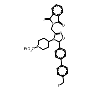 CCOC(=O)N1CCC(N2C(CN3C(=O)c4ccccc4C3=O)=NOC2c2ccc(-c3ccc(CF)cc3)cc2)CC1